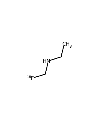 CCNC[18F]